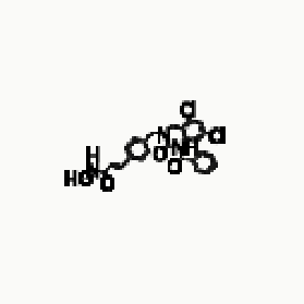 O=C(/C=C/c1ccc(CN(Cc2ccc(Cl)cc2Cl)C(=O)NC(=O)c2ccccc2)cc1)NO